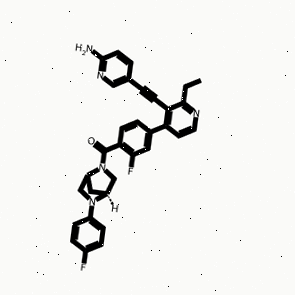 CCc1nccc(-c2ccc(C(=O)N3C[C@@H]4CC3CN4c3ccc(F)cc3)c(F)c2)c1C#Cc1ccc(N)nc1